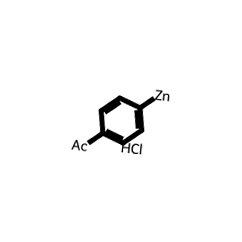 CC(=O)c1cc[c]([Zn])cc1.Cl